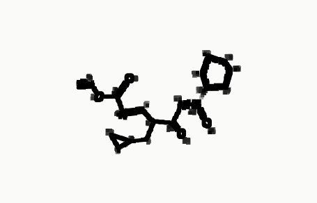 CC(C)(C)OC(=O)/N=C/C(CC1CC1)C(=O)/N=[S@@H](=O)/c1ccccc1